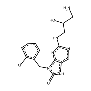 NCC(O)CNc1ncc2[nH]c(=O)n(Cc3ccccc3Cl)c2n1